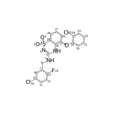 O=S1(=O)N=C(NCc2cc(Cl)ccc2F)Nc2c(Oc3ccccc3Cl)cccc21